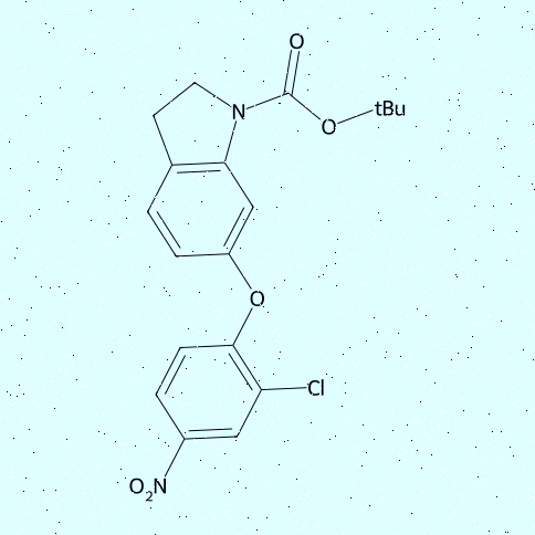 CC(C)(C)OC(=O)N1CCc2ccc(Oc3ccc([N+](=O)[O-])cc3Cl)cc21